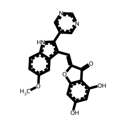 COc1ccc2[nH]c(-c3cncnc3)c(C=C3Oc4cc(O)cc(O)c4C3=O)c2c1